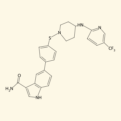 NC(=O)c1c[nH]c2ccc(-c3ccc(SN4CCC(Nc5ccc(C(F)(F)F)cn5)CC4)cc3)cc12